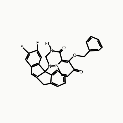 CCN1CN(C23C(=Cc4cc(F)c(F)cc42)Cc2ccccc23)n2ccc(=O)c(OCc3ccccc3)c2C1=O